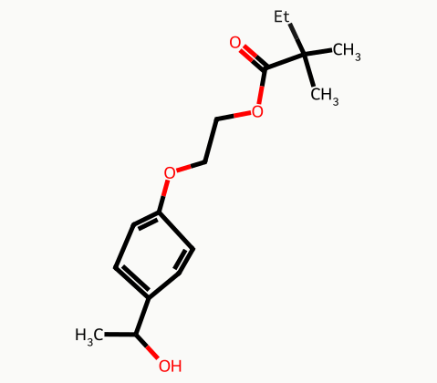 CCC(C)(C)C(=O)OCCOc1ccc(C(C)O)cc1